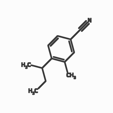 CCC(C)c1ccc(C#N)cc1C